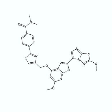 COc1cc(OCc2csc(-c3ccc(C(=O)N(C)C)cc3)n2)c2cc(-c3cnc4sc(OC)nn34)oc2c1